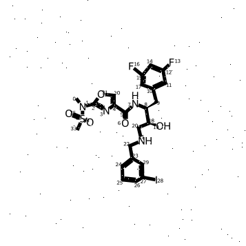 CN(c1nc(C(=O)N[C@@H](Cc2cc(F)cc(F)c2)[C@@H](O)CNCc2cccc(I)c2)co1)S(C)(=O)=O